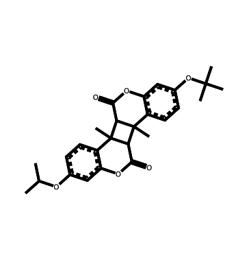 CC(C)Oc1ccc2c(c1)OC(=O)C1C2(C)C2C(=O)Oc3cc(OC(C)(C)C)ccc3C12C